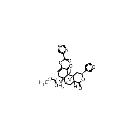 COC(=O)[C@@H]1C=C(OC(=O)c2cscn2)C(=O)[C@H]2[C@@]1(N)CC[C@H]1C(=O)O[C@H](c3ccoc3)C[C@]21N